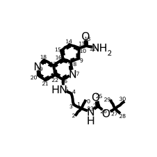 CC(C)(CCNc1nc2cc(C(N)=O)ccc2c2cnccc12)NC(=O)OC(C)(C)C